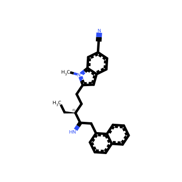 CC[C@@H](CCc1cc2ccc(C#N)cc2n1C)C(=N)Cc1cccc2ccccc12